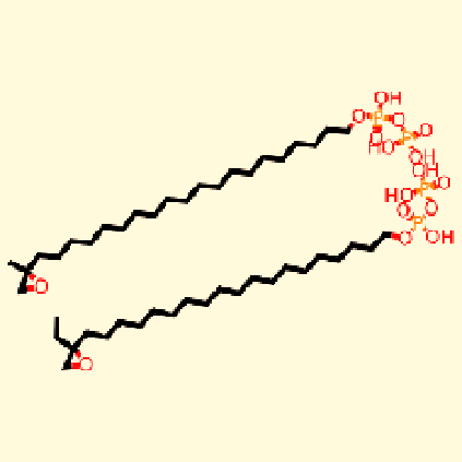 CC1(CCCCCCCCCCCCCCCCCCCCOP(=O)(O)OP(=O)(O)O)CO1.CCC1(CCCCCCCCCCCCCCCCCCCOP(=O)(O)OP(=O)(O)O)CO1